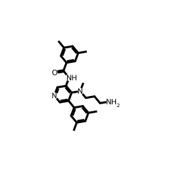 Cc1cc(C)cc(C(=O)Nc2cncc(-c3cc(C)cc(C)c3)c2N(C)CCCN)c1